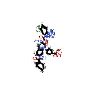 O=C(Nc1cc(Cl)ccc1-n1cnnn1)C(=O)N[C@@H](Cc1ccc(NC(=O)c2ccccc2)cc1)C(=O)Nc1ccc(C(=O)O)cc1